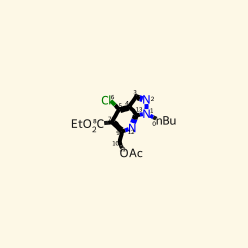 CCCCn1ncc2c(Cl)c(C(=O)OCC)c(COC(C)=O)nc21